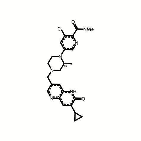 CNC(=O)c1ncc(N2CCN(Cc3cnc4cc(C5CC5)c(=O)[nH]c4c3)C[C@@H]2C)cc1Cl